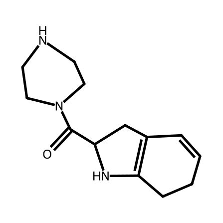 O=C(C1CC2=C(CCC=C2)N1)N1CCNCC1